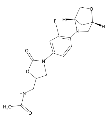 CC(=O)NCC1CN(c2ccc(N3C[C@@H]4C[C@H]3CO4)c(F)c2)C(=O)O1